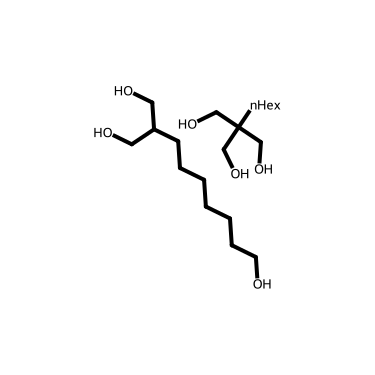 CCCCCCC(CO)(CO)CO.OCCCCCCCC(CO)CO